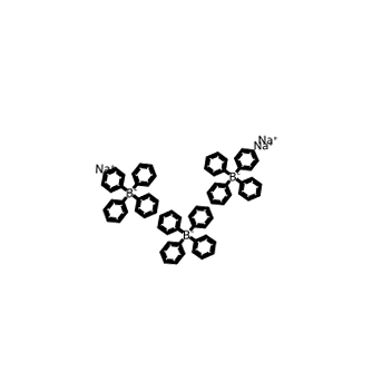 [Na+].[Na+].[Na+].c1ccc([B-](c2ccccc2)(c2ccccc2)c2ccccc2)cc1.c1ccc([B-](c2ccccc2)(c2ccccc2)c2ccccc2)cc1.c1ccc([B-](c2ccccc2)(c2ccccc2)c2ccccc2)cc1